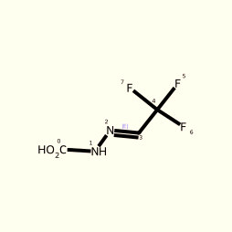 O=C(O)N/N=C/C(F)(F)F